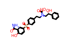 NC(=O)c1cc(S(=O)(=O)c2ccc(CCN(C[C@H](O)c3ccccc3)C(=O)O)cc2)ccc1O